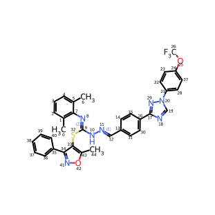 Cc1cccc(C)c1/N=C(/N/N=C/c1ccc(-c2ncn(-c3ccc(OC(F)(F)F)cc3)n2)cc1)Sc1c(-c2ccccc2)noc1C